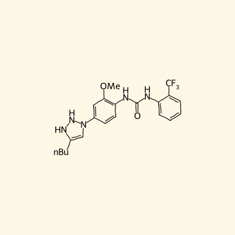 CCCCC1=CN(c2ccc(NC(=O)Nc3ccccc3C(F)(F)F)c(OC)c2)NN1